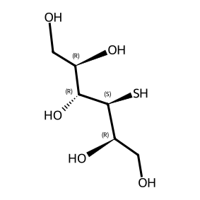 OC[C@@H](O)[C@@H](O)[C@@H](S)[C@H](O)CO